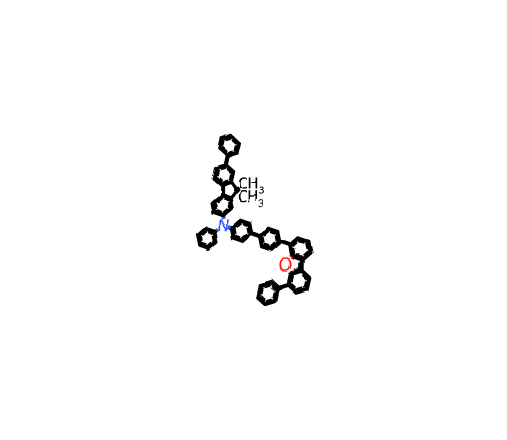 CC1(C)c2cc(-c3ccccc3)ccc2-c2ccc(N(c3ccccc3)c3ccc(-c4ccc(-c5cccc6c5oc5c(-c7ccccc7)cccc56)cc4)cc3)cc21